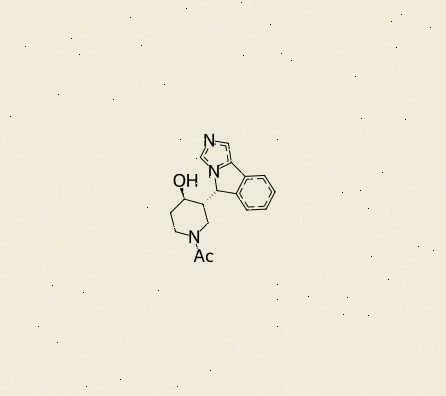 CC(=O)N1CC[C@@H](O)[C@H](C2c3ccccc3-c3cncn32)C1